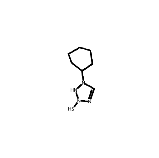 SN1N=CN(C2CCCCC2)N1